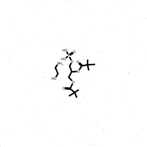 CC(C)(C)C(=O)OCC(COP(=O)(O)O)OC(=O)C(C)(C)C.NCCO